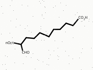 CCCCCCCCC(C=O)CCCCCCCCC(=O)O